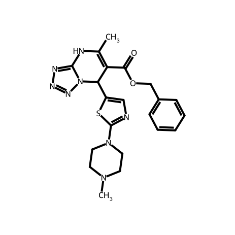 CC1=C(C(=O)OCc2ccccc2)C(c2cnc(N3CCN(C)CC3)s2)n2nnnc2N1